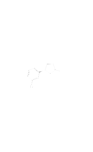 OC1CC[C@H](c2cccc(Br)c2)C1